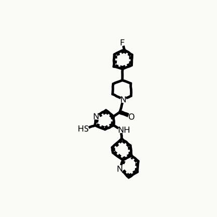 O=C(c1cnc(S)cc1Nc1ccc2ncccc2c1)N1CCC(c2ccc(F)cc2)CC1